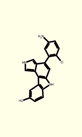 Nc1ccc(Cl)c(-c2cc3[nH]c4ccc(O)cc4c3c3c[nH]cc23)c1